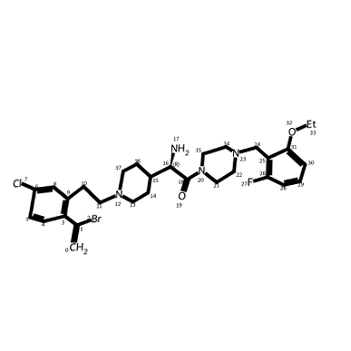 C=C(Br)c1ccc(Cl)cc1CCN1CCC([C@@H](N)C(=O)N2CCN(Cc3c(F)cccc3OCC)CC2)CC1